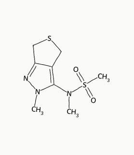 CN(c1c2c(nn1C)CSC2)S(C)(=O)=O